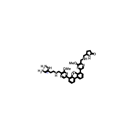 COc1nc(-c2cccc(-c3cccc(-c4cnc(CNCC5CCC(=O)N5)c(OC)n4)c3Cl)c2Cl)cnc1CNCC/C(=C/N)NN